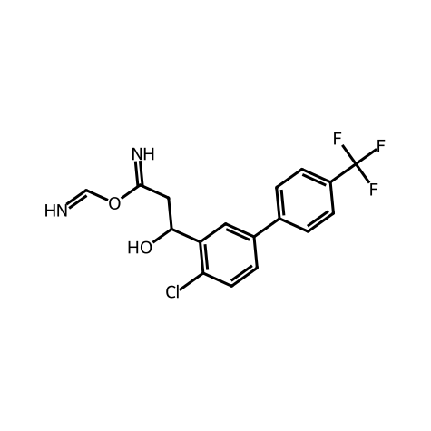 N=COC(=N)CC(O)c1cc(-c2ccc(C(F)(F)F)cc2)ccc1Cl